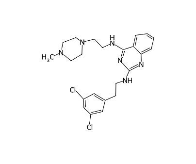 CN1CCN(CCNc2nc(NCCc3cc(Cl)cc(Cl)c3)nc3ccccc23)CC1